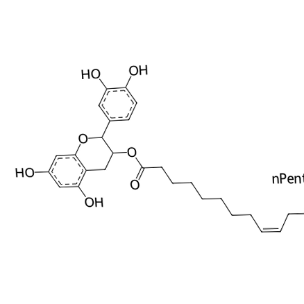 CCCCC/C=C\C/C=C\CCCCCCCC(=O)OC1Cc2c(O)cc(O)cc2OC1c1ccc(O)c(O)c1